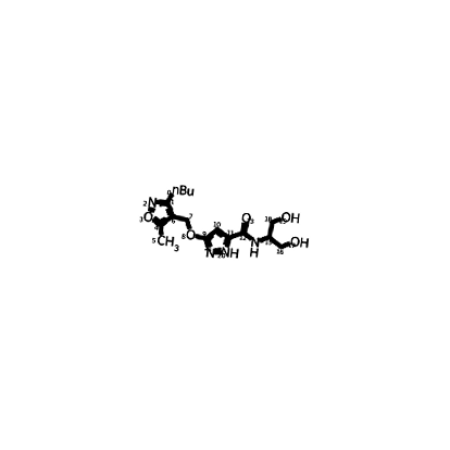 CCCCc1noc(C)c1COc1cc(C(=O)NC(CO)CO)[nH]n1